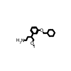 NCCC(COI)c1cccc(OCC2CCCCC2)c1